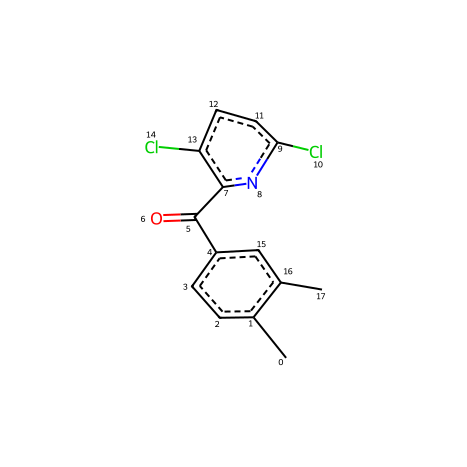 Cc1ccc(C(=O)c2nc(Cl)ccc2Cl)cc1C